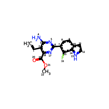 C=Cc1c(N)nc(-c2ccc3cc[nH]c3c2F)nc1C(=O)OC